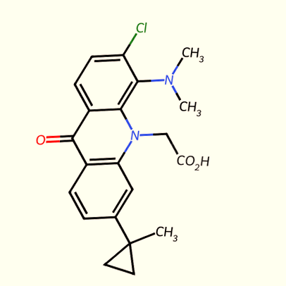 CN(C)c1c(Cl)ccc2c(=O)c3ccc(C4(C)CC4)cc3n(CC(=O)O)c12